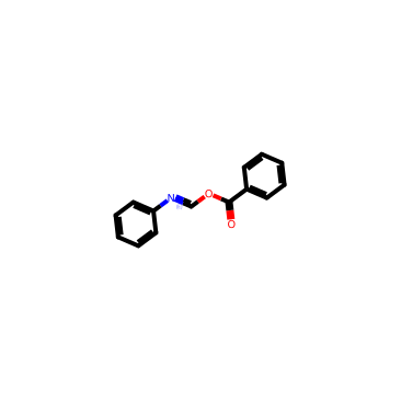 O=C(O/C=N/c1ccccc1)c1ccccc1